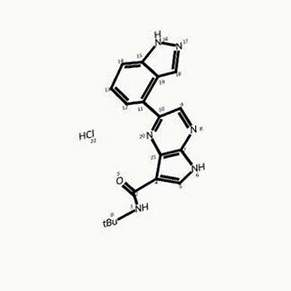 CC(C)(C)NC(=O)c1c[nH]c2ncc(-c3cccc4[nH]ncc34)nc12.Cl